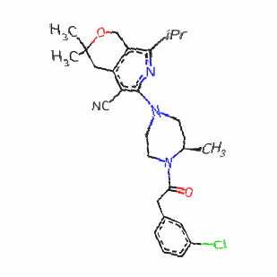 CC(C)c1nc(N2CCN(C(=O)Cc3cccc(Cl)c3)[C@H](C)C2)c(C#N)c2c1COC(C)(C)C2